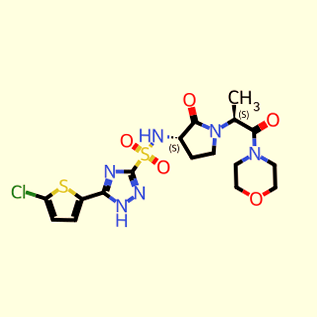 C[C@@H](C(=O)N1CCOCC1)N1CC[C@H](NS(=O)(=O)c2n[nH]c(-c3ccc(Cl)s3)n2)C1=O